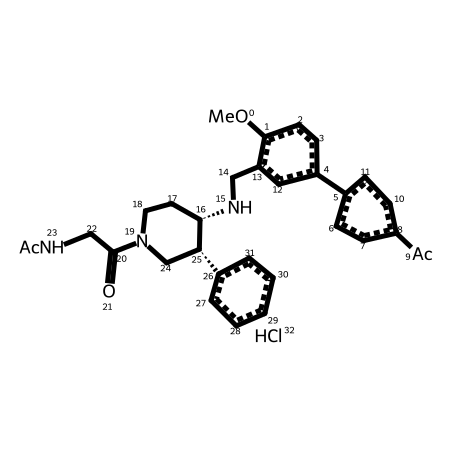 COc1ccc(-c2ccc(C(C)=O)cc2)cc1CN[C@H]1CCN(C(=O)CNC(C)=O)C[C@H]1c1ccccc1.Cl